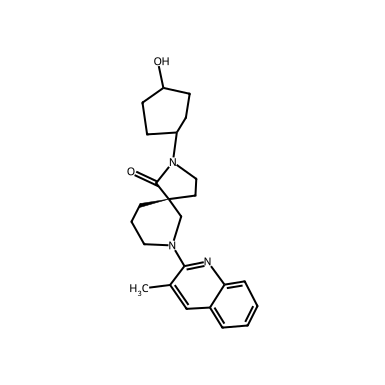 Cc1cc2ccccc2nc1N1CCC[C@@]2(CCN(C3CCC(O)CC3)C2=O)C1